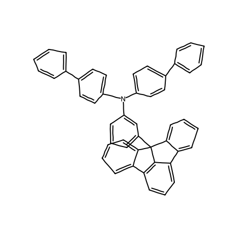 c1ccc(-c2ccc(N(c3ccc(-c4ccccc4)cc3)c3cccc(C45c6ccccc6-c6cccc(c64)-c4ccccc45)c3)cc2)cc1